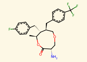 C[C@@H]1OC(=O)[C@@H](N)COC[C@H](Cc2ccc(C(F)(F)F)cc2)[C@H]1Cc1ccc(F)cc1